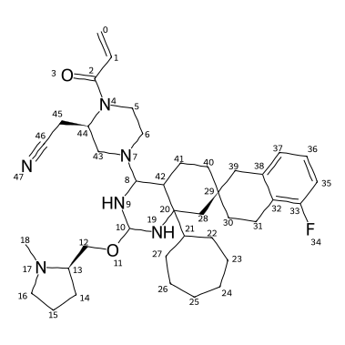 C=CC(=O)N1CCN(C2NC(OC[C@H]3CCCN3C)NC3(C4CCCCCC4)C[C@@]4(CCc5c(F)cccc5C4)CCC23)C[C@H]1CC#N